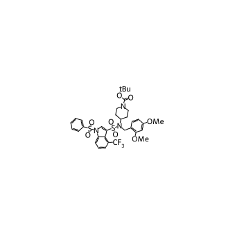 COc1ccc(CN(C2CCN(C(=O)OC(C)(C)C)CC2)S(=O)(=O)c2cn(S(=O)(=O)c3ccccc3)c3cccc(C(F)(F)F)c23)c(OC)c1